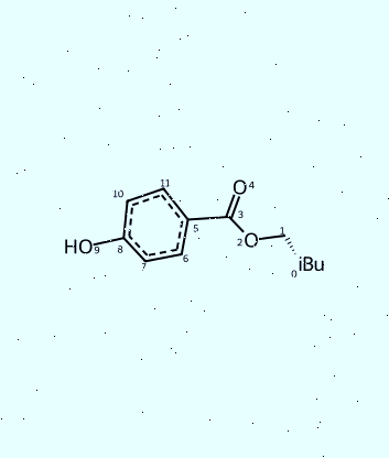 CC[C@@H](C)COC(=O)c1ccc(O)cc1